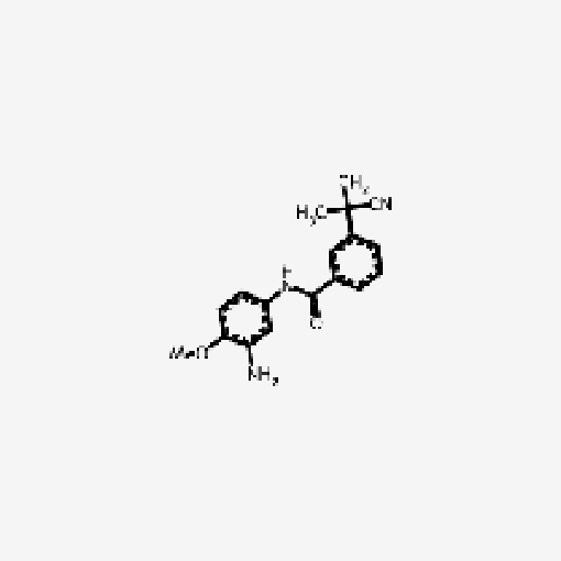 COc1ccc(NC(=O)c2cccc(C(C)(C)C#N)c2)cc1N